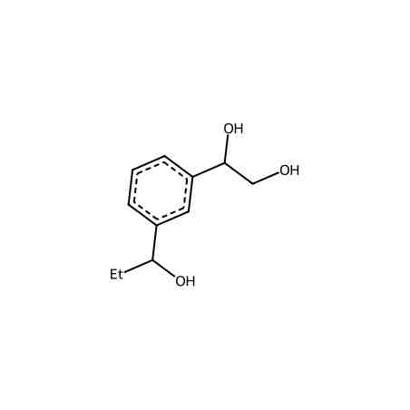 CCC(O)c1cccc(C(O)CO)c1